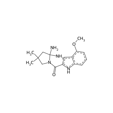 COc1cccc2[nH]c(C(=O)N3CC(C)(C)CC3(N)N)cc12